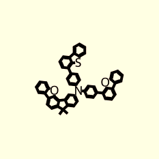 CC1(C)c2ccc(N(c3ccc(-c4cccc5c4oc4ccccc45)cc3)c3ccc(-c4cccc5c4sc4ccccc45)cc3)cc2-c2c1ccc1c2oc2ccccc21